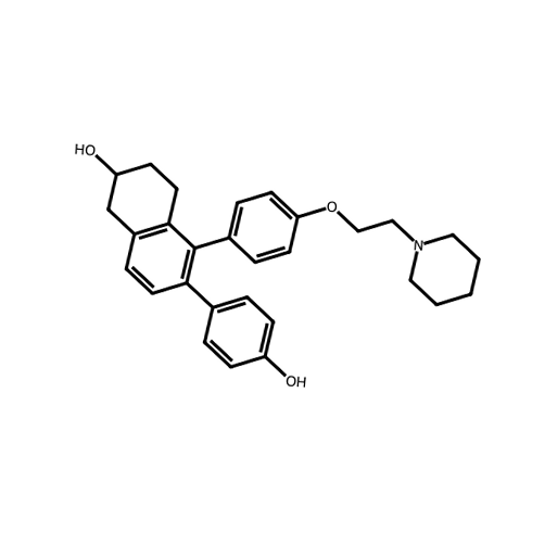 Oc1ccc(-c2ccc3c(c2-c2ccc(OCCN4CCCCC4)cc2)CCC(O)C3)cc1